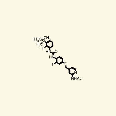 CC(=O)Nc1cc(COc2ccc(NC(=O)Nc3cccc([Si](C)(C)C)c3F)c(F)c2)ccn1